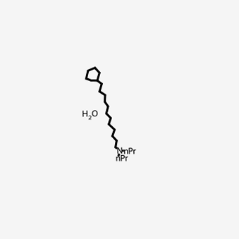 CCCN(CCC)CCCCCCCCCCCCC1CCCCC1.O